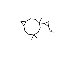 CC1(C)CCC2CC2CCC(C)(C2CC2N)CC1